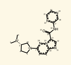 CN(C)[C@H]1CCN(c2ccc3ncc(C(=O)Nc4cnccn4)n3n2)C1